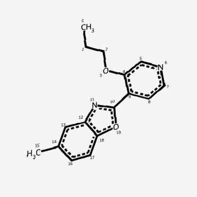 CCCOc1cnccc1-c1nc2cc(C)ccc2o1